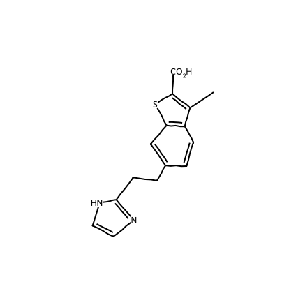 Cc1c(C(=O)O)sc2cc(CCc3ncc[nH]3)ccc12